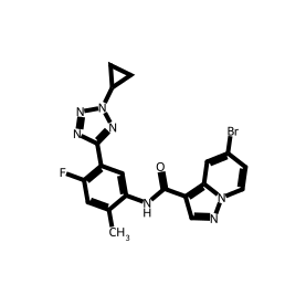 Cc1cc(F)c(-c2nnn(C3CC3)n2)cc1NC(=O)c1cnn2ccc(Br)cc12